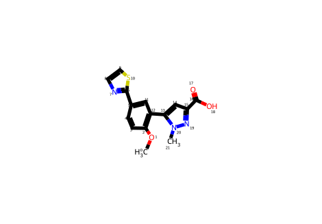 COc1ccc(-c2nccs2)cc1-c1cc(C(=O)O)nn1C